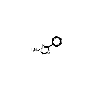 NN1CSC(c2ccccc2)=N1